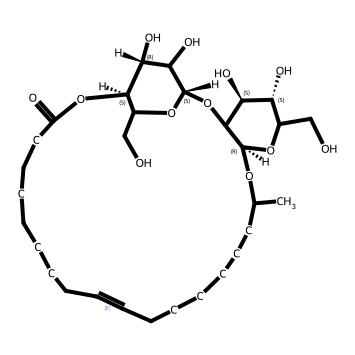 CC1CCCCCC/C=C/CCCCCCCC(=O)O[C@@H]2C(CO)O[C@@H](OC3[C@H](O1)OC(CO)[C@@H](O)[C@@H]3O)C(O)[C@H]2O